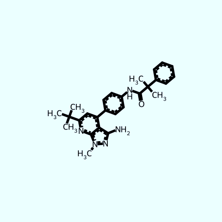 Cn1nc(N)c2c(-c3ccc(NC(=O)C(C)(C)c4ccccc4)cc3)cc(C(C)(C)C)nc21